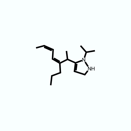 C/C=C\C=C(\CCC)C(C)C1=CCNN1C(C)C